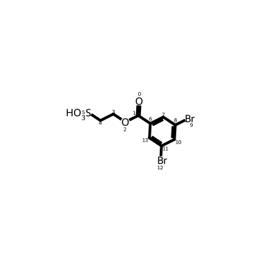 O=C(OCCS(=O)(=O)O)c1cc(Br)cc(Br)c1